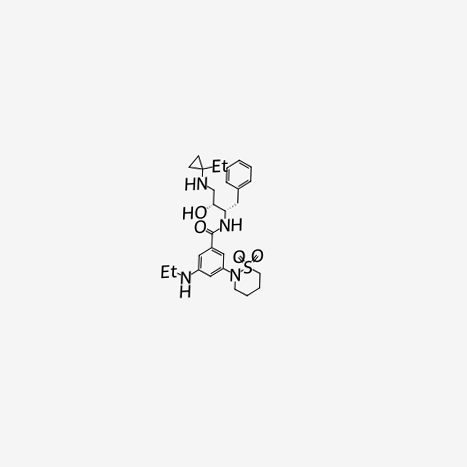 CCNc1cc(C(=O)N[C@@H](Cc2ccccc2)[C@H](O)CNC2(CC)CC2)cc(N2CCCCS2(=O)=O)c1